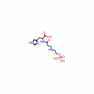 O=C(CCNCCOP(=O)(O)O)NC(Cc1c[nH]cn1)C(=O)O